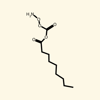 CCCCCCCCC(=O)OC(=O)OON